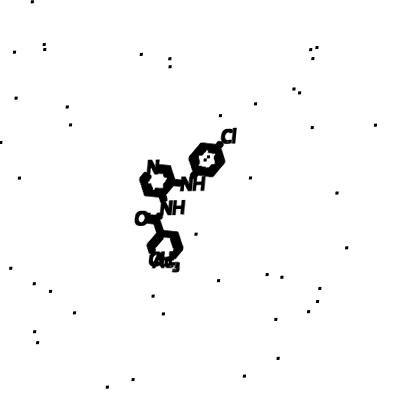 C/C=C(\C=C/C(C)=O)C(=O)Nc1ccncc1Nc1ccc(Cl)cc1